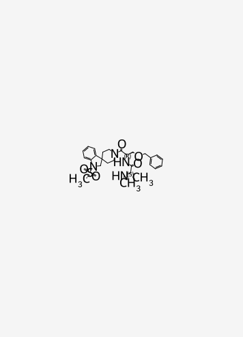 CN[C@@H](C)C(=O)N[C@H](COCc1ccccc1)C(=O)N1CCC2(CC1)CN(S(C)(=O)=O)c1ccccc12